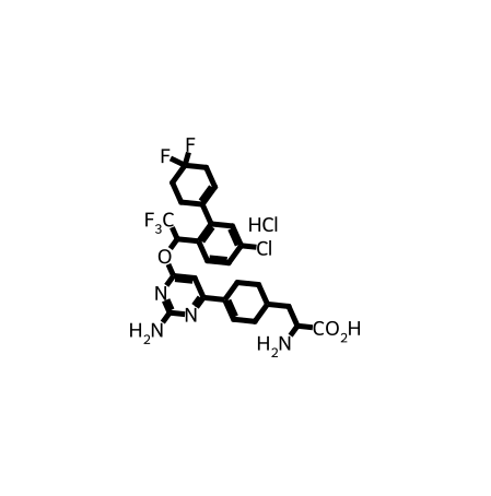 Cl.Nc1nc(OC(c2ccc(Cl)cc2C2=CCC(F)(F)CC2)C(F)(F)F)cc(C2=CCC(CC(N)C(=O)O)CC2)n1